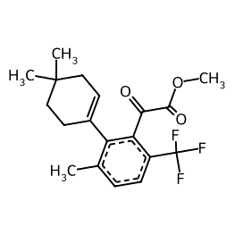 COC(=O)C(=O)c1c(C(F)(F)F)ccc(C)c1C1=CCC(C)(C)CC1